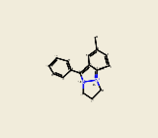 Cc1ccc2c(c1)c(-c1ccccc1)n1[n+]2CCC1